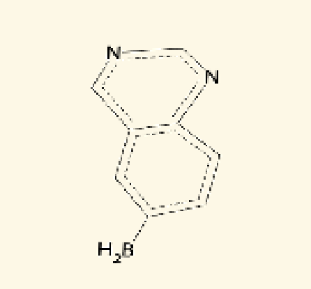 Bc1ccc2ncncc2c1